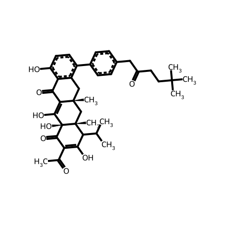 CC(=O)C1=C(O)C(C(C)C)[C@@]2(C)C[C@@]3(C)Cc4c(-c5ccc(CC(=O)CCC(C)(C)C)cc5)ccc(O)c4C(=O)C3=C(O)[C@@]2(O)C1=O